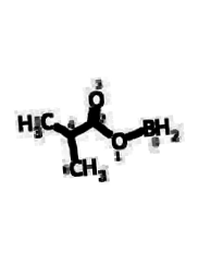 BOC(=O)C(C)C